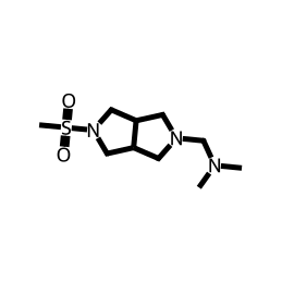 CN(C)CN1CC2CN(S(C)(=O)=O)CC2C1